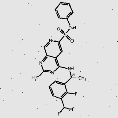 Cc1nc(N[C@H](C)c2cccc(C(F)F)c2F)c2cc(S(=O)(=O)Nc3ccccc3)ncc2n1